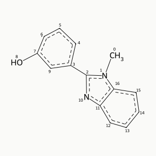 Cn1c(-c2cc[c]c(O)c2)nc2ccccc21